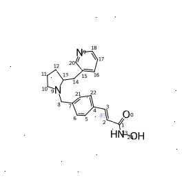 O=C(/C=C/c1ccc(CN2CCCC2Cc2cccnc2)cc1)NO